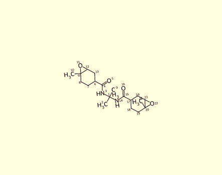 CC(C)(NC(=O)C1CCC2(C)OC2C1)NC(=O)C1CCC2(C)OC2C1